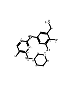 Cc1cnc(Nc2cc(Cl)c(Br)c(CO)c2)nc1N[C@@H]1CCCOC1